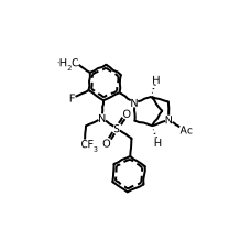 [CH2]c1ccc(N2C[C@H]3C[C@@H]2CN3C(C)=O)c(N(CC(F)(F)F)S(=O)(=O)Cc2ccccc2)c1F